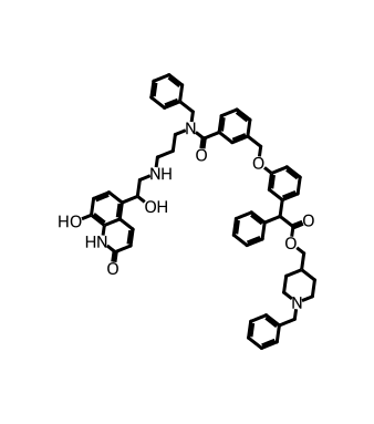 O=C(OCC1CCN(Cc2ccccc2)CC1)C(c1ccccc1)c1cccc(OCc2cccc(C(=O)N(CCCNCC(O)c3ccc(O)c4[nH]c(=O)ccc34)Cc3ccccc3)c2)c1